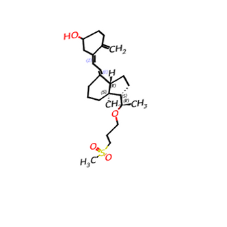 C=C1CCC(O)C/C1=C/C=C1\CCC[C@]2(C)[C@@H]([C@@H](C)OCCCS(C)(=O)=O)CC[C@@H]12